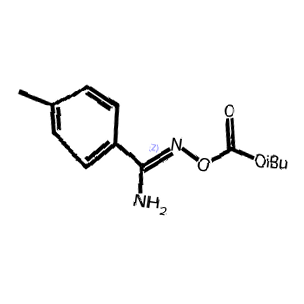 Cc1ccc(/C(N)=N/OC(=O)OCC(C)C)cc1